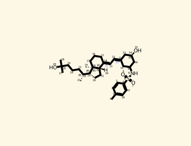 Cc1ccc(S(=O)(=O)NC2C/C(=C\C=C3/CCC[C@]4(C)[C@@H]([C@H](C)CCCC(C)(C)O)CC[C@@H]34)C[C@@H](O)C2)cc1